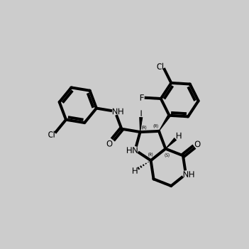 O=C1NCC[C@H]2N[C@](I)(C(=O)Nc3cccc(Cl)c3)[C@@H](c3cccc(Cl)c3F)[C@H]12